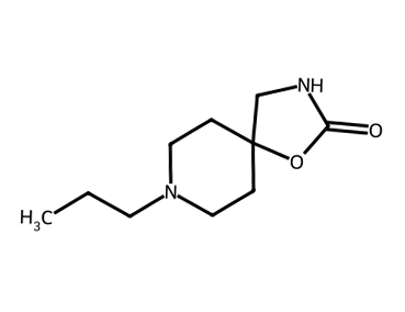 CCCN1CCC2(CC1)CNC(=O)O2